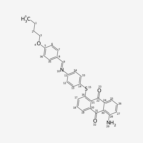 CCCCOc1ccc(C=Nc2ccc(Sc3cccc4c3C(=O)c3cccc(N)c3C4=O)cc2)cc1